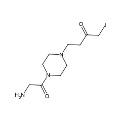 NCC(=O)N1CCN(CCC(=O)CI)CC1